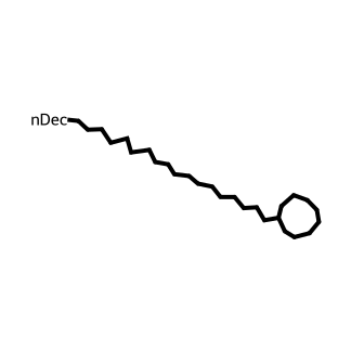 CCCCCCCCCCCCCCCCCCCCCCCCCCCCC1CCCCCCCC1